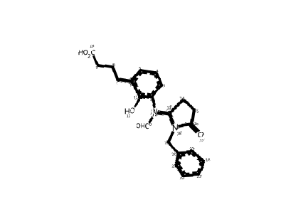 O=CN(c1cccc(CCCC(=O)O)c1O)C1CCC(=O)N1Cc1ccccc1